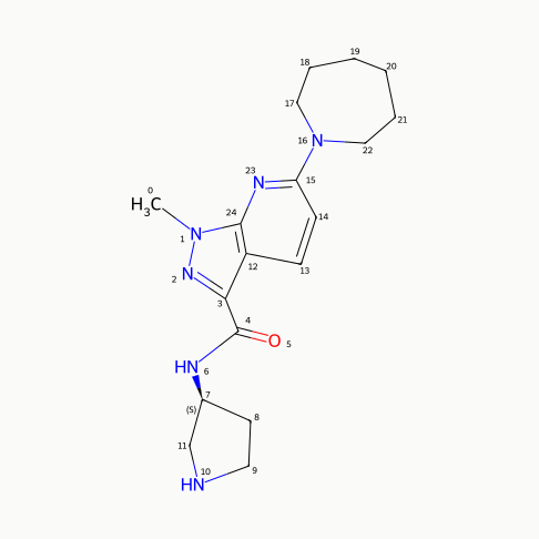 Cn1nc(C(=O)N[C@H]2CCNC2)c2ccc(N3CCCCCC3)nc21